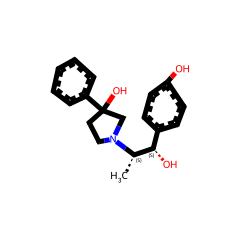 C[C@@H]([C@@H](O)c1ccc(O)cc1)N1CCC(O)(c2ccccc2)C1